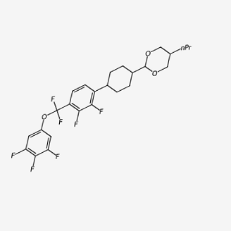 CCCC1COC(C2CCC(c3ccc(C(F)(F)Oc4cc(F)c(F)c(F)c4)c(F)c3F)CC2)OC1